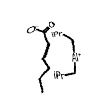 CC(C)[CH2][Al+][CH2]C(C)C.CCCCCC(=O)[O-]